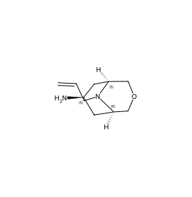 C=CCN1[C@@H]2COC[C@H]1C[C@@H](N)C2